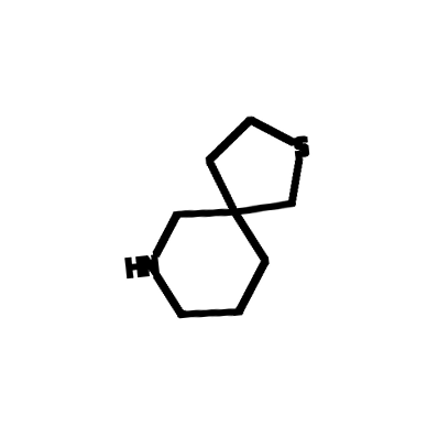 C1CNCC2(C1)CCSC2